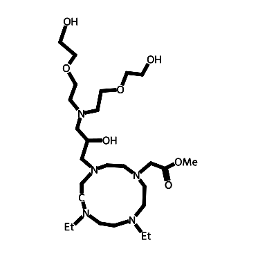 CCN1CCN(CC)CCN(CC(O)CN(CCOCCO)CCOCCO)CCN(CC(=O)OC)CC1